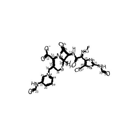 CON=C(C(=O)NC1C(=O)N2C(C(=O)[O-])=C(C[n+]3cccc(NC=O)c3)CS[C@@H]12)c1nc(NC=O)sc1Cl